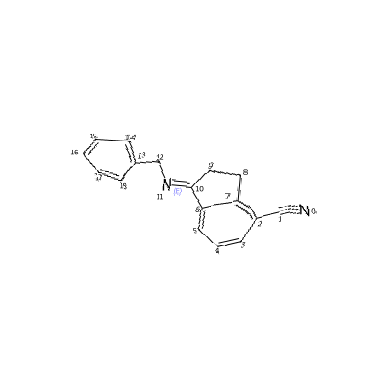 N#Cc1cccc2c1CC/C2=N\Cc1ccccc1